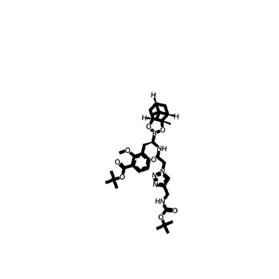 COc1c(C[C@H](NC(=O)Cn2cc(CNC(=O)OC(C)(C)C)nn2)B2O[C@@H]3C[C@@H]4C[C@@H](C4(C)C)[C@]3(C)O2)cccc1C(=O)OC(C)(C)C